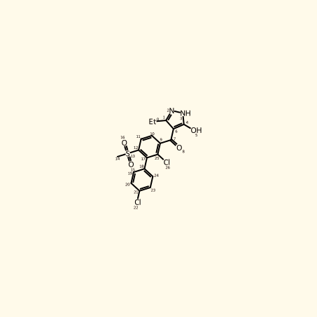 CCc1n[nH]c(O)c1C(=O)c1ccc(S(C)(=O)=O)c(-c2ccc(Cl)cc2)c1Cl